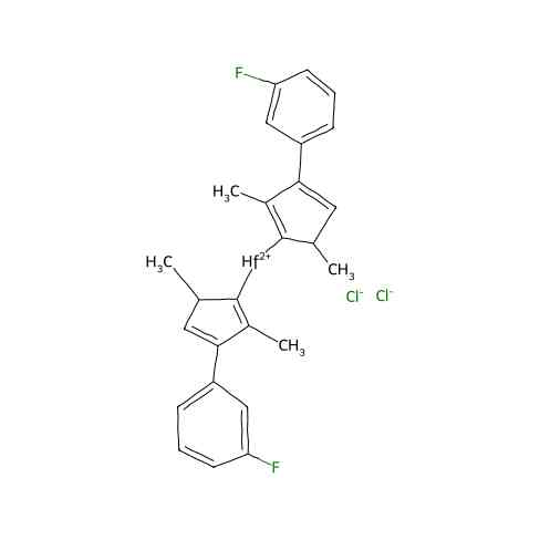 CC1=[C]([Hf+2][C]2=C(C)C(c3cccc(F)c3)=CC2C)C(C)C=C1c1cccc(F)c1.[Cl-].[Cl-]